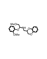 COCC(NCC1COc2ccccc2O1)Oc1ccccc1OC